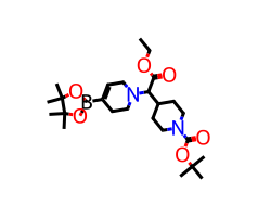 CCOC(=O)C(C1CCN(C(=O)OC(C)(C)C)CC1)N1CC=C(B2OC(C)(C)C(C)(C)O2)CC1